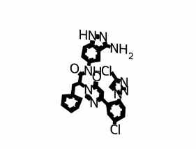 Nc1n[nH]c2ccc(NC(=O)C(Cc3ccccc3)n3cnc(-c4cc(Cl)ccc4-n4cc(Cl)nn4)cc3=O)cc12